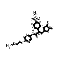 COCCOc1cnc(NC(=O)/C(=C/C2CC(F)C(F)C2)c2ccc(S(C)(=O)=O)cc2)cn1